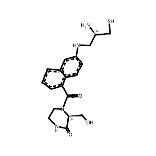 N[C@@H](CS)CNc1ccc2c(C(=O)N3CCNC(=O)[C@@H]3CO)cccc2c1